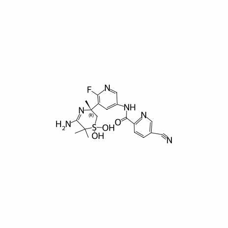 CC1(C)C(N)=N[C@](C)(c2cc(NC(=O)c3ccc(C#N)cn3)cnc2F)CS1(O)O